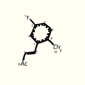 CC(=O)/C=C/c1cc(F)ccc1C